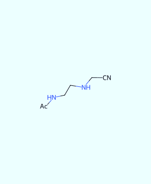 CC(=O)NCCNCC#N